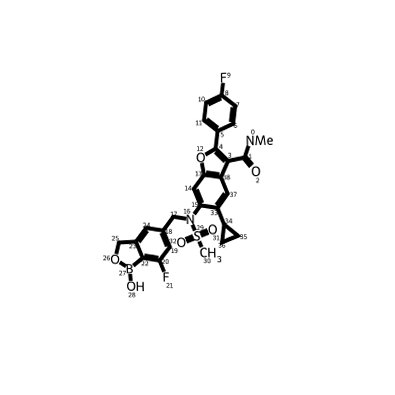 CNC(=O)c1c(-c2ccc(F)cc2)oc2cc(N(Cc3cc(F)c4c(c3)COB4O)S(C)(=O)=O)c(C3CC3)cc12